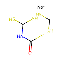 O=C([S-])NC(S)S.SCS.[Na+]